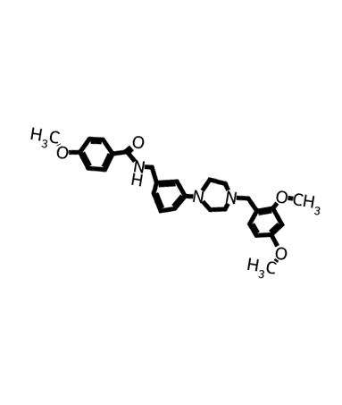 COc1ccc(C(=O)NCc2cccc(N3CCN(Cc4ccc(OC)cc4OC)CC3)c2)cc1